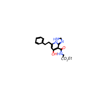 CCOC(=O)CNC(=O)C1=C(O)C=C(CCc2ccccc2)N2NCN=C12